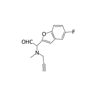 C#CCN(C)C(C=O)c1cc2cc(F)ccc2o1